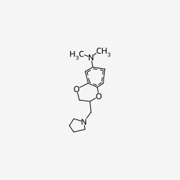 CN(C)c1ccc2c(c1)OCC(CN1CCCC1)O2